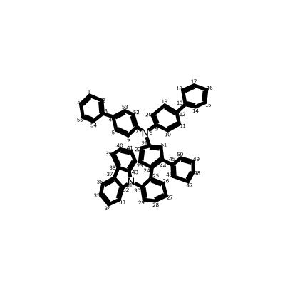 c1ccc(-c2ccc(N(c3ccc(-c4ccccc4)cc3)c3ccc(-c4ccccc4-n4c5ccccc5c5ccccc54)c(-c4ccccc4)c3)cc2)cc1